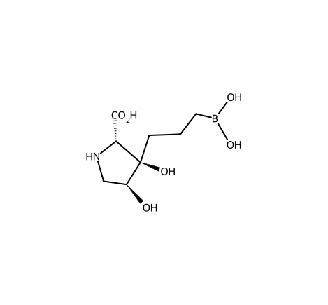 O=C(O)[C@H]1NC[C@H](O)[C@@]1(O)CCCB(O)O